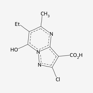 CCc1c(C)nc2c(C(=O)O)c(Cl)nn2c1O